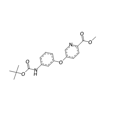 COC(=O)c1ccc(Oc2cccc(NC(=O)OC(C)(C)C)c2)cn1